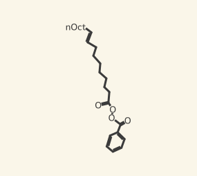 CCCCCCCCC=CCCCCCCCC(=O)OOC(=O)c1ccccc1